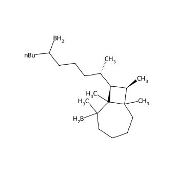 BC(CCCC)CCC[C@H](C)[C@H]1[C@@H](C)C2(C)CCCCC(B)(C)C12C